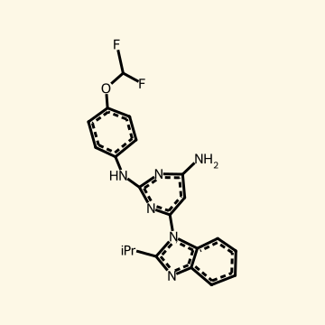 CC(C)c1nc2ccccc2n1-c1cc(N)nc(Nc2ccc(OC(F)F)cc2)n1